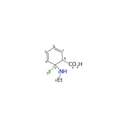 CCNC1(F)C=CC=CC1C(=O)O